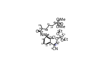 CCOP(=S)(OCC)O/N=C(/C#N)c1ccccc1Cl.CNC(=O)C(C)SCCSP(=O)(OC)OC